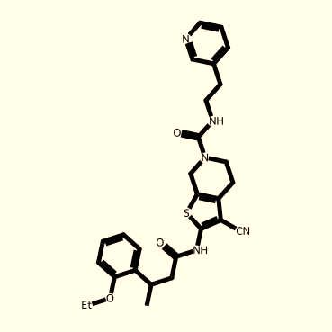 CCOc1ccccc1C(C)CC(=O)Nc1sc2c(c1C#N)CCN(C(=O)NCCc1cccnc1)C2